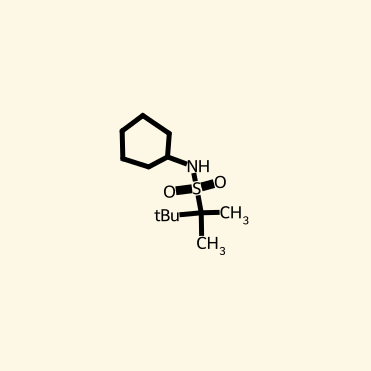 CC(C)(C)C(C)(C)S(=O)(=O)NC1CCCCC1